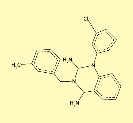 Cc1cccc(CN2C(N)c3ccccc3N(c3cccc(Cl)c3)C2N)c1